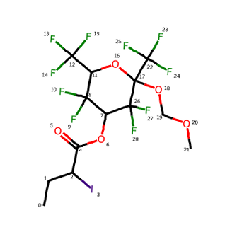 CCC(I)C(=O)OC1C(F)(F)C(C(F)(F)F)OC(OCOC)(C(F)(F)F)C1(F)F